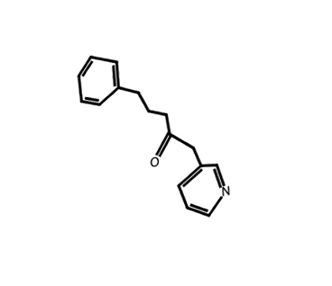 O=C(CCCc1ccccc1)Cc1cccnc1